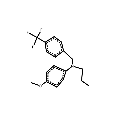 CCCN(Cc1ccc(C(F)(F)F)cc1)c1ccc(OC)cc1